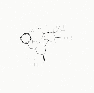 CC=C(CCC12OC(C(=O)O)C(O)(C(=O)O)C(C(=O)O)(O1)C(OC)C2O)C(OC(C)=O)C(C)Cc1ccccc1